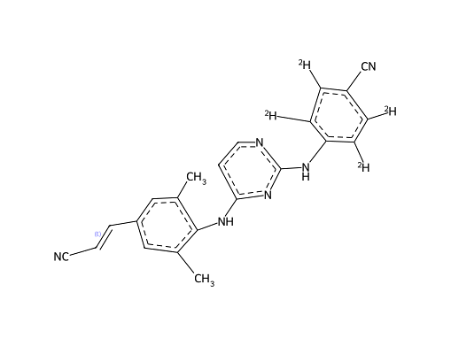 [2H]c1c([2H])c(Nc2nccc(Nc3c(C)cc(/C=C/C#N)cc3C)n2)c([2H])c([2H])c1C#N